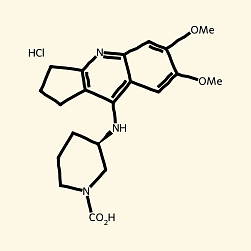 COc1cc2nc3c(c(N[C@@H]4CCCN(C(=O)O)C4)c2cc1OC)CCC3.Cl